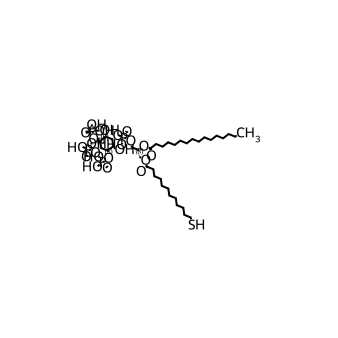 CCCCCCCCCCCCCCCC(=O)O[C@H](COC(=O)CCCCCCCCCCCS)COP(=O)(O)OC1C(O)[C@H](OP(=O)(O)O)C(OP(=O)(O)O)[C@H](OP(=O)(O)O)[C@@H]1O